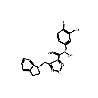 N=C(c1nonc1CN1CCc2ccccc21)N(O)c1ccc(F)c(Cl)c1